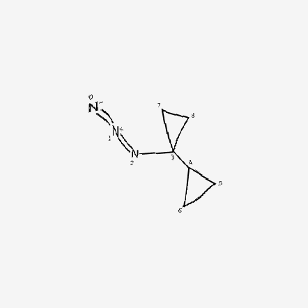 [N-]=[N+]=NC1(C2CC2)CC1